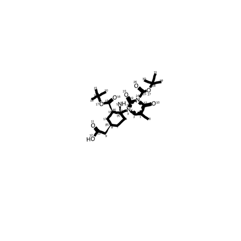 Cc1cn([C@]2(N)CC[C@@H](CC(=O)O)C[C@H]2C(=O)OC(C)(C)C)c(=O)n(C(=O)OC(C)(C)C)c1=O